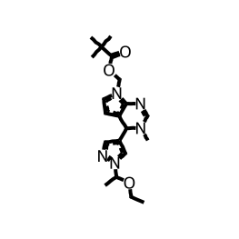 CCOC(C)n1cc(C2c3ccn(COC(=O)C(C)(C)C)c3N=CN2C)cn1